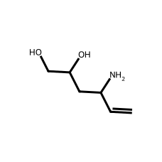 C=CC(N)CC(O)CO